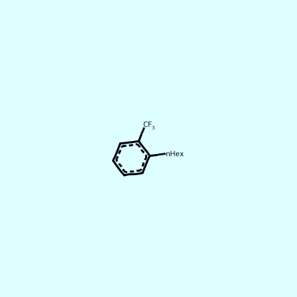 CCCCCCc1ccccc1C(F)(F)F